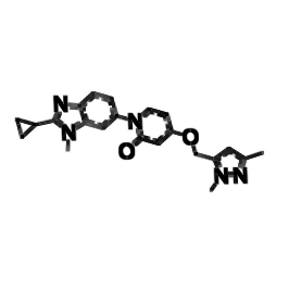 Cc1cc(COc2ccn(-c3ccc4nc(C5CC5)n(C)c4c3)c(=O)c2)n(C)n1